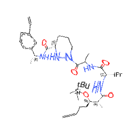 C=CCC[C@@H](O[Si](C)(C)C(C)(C)C)[C@@H](C)C(=O)N[C@H](C(=O)NC(C)C(=O)N1CCC[C@@H](C(=O)N[C@H](C)c2cccc(C=C)c2)N1)C(C)C